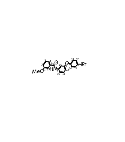 COc1cccc(C(=O)Nc2cccc(Oc3ccc(C(C)C)cc3)c2)c1